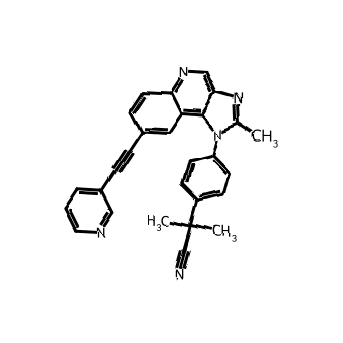 Cc1nc2cnc3ccc(C#Cc4cccnc4)cc3c2n1-c1ccc(C(C)(C)C#N)cc1